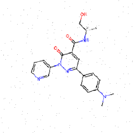 C[C@@H](CO)NC(=O)c1cc(-c2ccc(N(C)C)cc2)nn(-c2cccnc2)c1=O